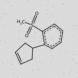 CS(=O)(=O)c1ccc[c]c1C1CC=CC1